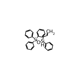 C=CC[SiH](O[Si](c1ccccc1)(c1ccccc1)c1ccccc1)c1ccccc1